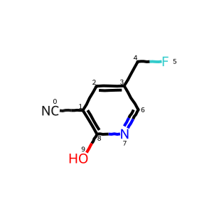 N#Cc1cc(CF)cnc1O